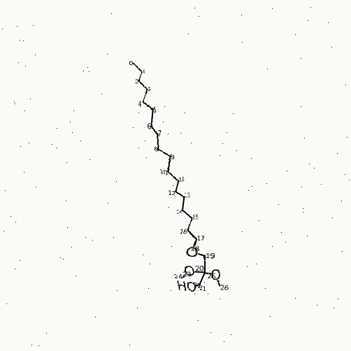 CCCCCCCCCCCCCCCCCCOCC(CO)(OC)OC